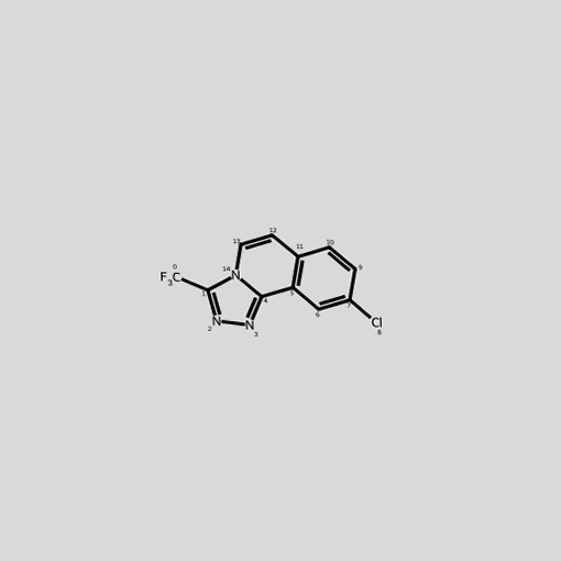 FC(F)(F)c1nnc2c3cc(Cl)ccc3ccn12